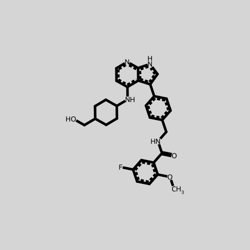 COc1ccc(F)cc1C(=O)NCc1ccc(-c2c[nH]c3nccc(NC4CCC(CO)CC4)c23)cc1